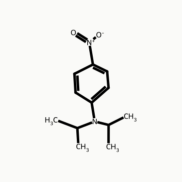 CC(C)N(c1ccc([N+](=O)[O-])cc1)C(C)C